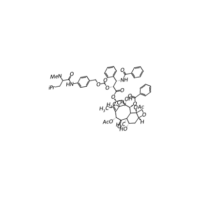 CNC(CC(C)C)C(=O)Nc1ccc(COC(=O)O[C@@H](C(=O)O[C@H]2C[C@@]3(O)[C@@H](OC(=O)c4ccccc4)C4[C@](C)(C(=O)[C@H](OC(C)=O)C(=C2C)C3(C)C)[C@@H](O)C[C@H]2OC[C@@]42OC(C)=O)[C@@H](NC(=O)c2ccccc2)c2ccccc2)cc1